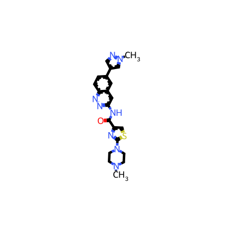 CN1CCN(c2nc(C(=O)Nc3cc4cc(-c5cnn(C)c5)ccc4nn3)cs2)CC1